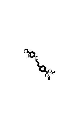 CCOC(OCC)c1ccc(/C=C/COc2ccc(Cl)nc2)cc1